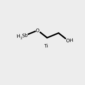 OCC[O][SbH2].[Ti]